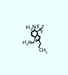 CCCc1cc2c(C(F)(F)F)c(N)ccc2n1CN